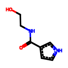 O=C(NCCO)c1cc[nH]c1